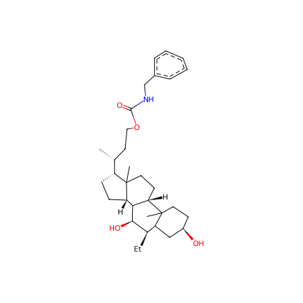 CC[C@@H]1C2C[C@H](O)CCC2(C)[C@H]2CCC3(C)[C@@H]([C@H](C)CCOC(=O)NCc4ccccc4)CC[C@H]3C2[C@@H]1O